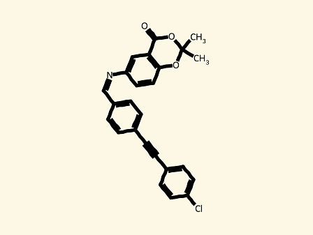 CC1(C)OC(=O)c2cc(/N=C\c3ccc(C#Cc4ccc(Cl)cc4)cc3)ccc2O1